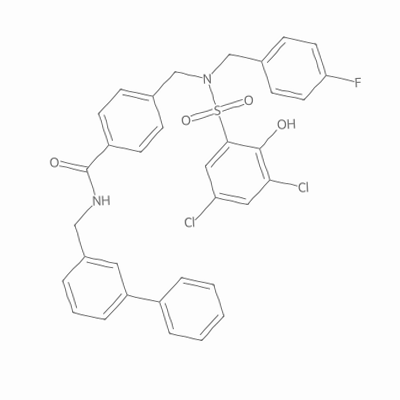 O=C(NCc1cccc(-c2ccccc2)c1)c1ccc(CN(Cc2ccc(F)cc2)S(=O)(=O)c2cc(Cl)cc(Cl)c2O)cc1